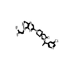 CC(c1cncc(Cl)c1)N1CC2(CCN(c3cnc4cnn(CC(F)F)c4n3)CC2)CC1=O